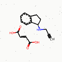 C#CCN[C@@H]1CCc2ccccc21.O=C(O)C=CC(=O)O